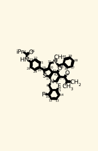 C=C(C)C(=O)c1cn(Cc2c(F)cccc2F)c2sc(-c3ccc(NC(=O)C(C)C)cc3)c(CN(C)Cc3ccccc3)c2c1=O